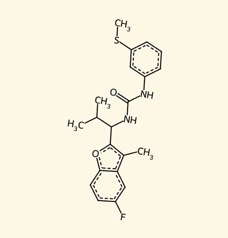 CSc1cccc(NC(=O)NC(c2oc3ccc(F)cc3c2C)C(C)C)c1